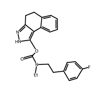 CCN(CCc1ccc(F)cc1)C(=O)Oc1[nH]nc2c1-c1ccccc1CC2